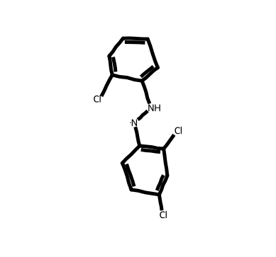 Clc1ccc([N]Nc2ccccc2Cl)c(Cl)c1